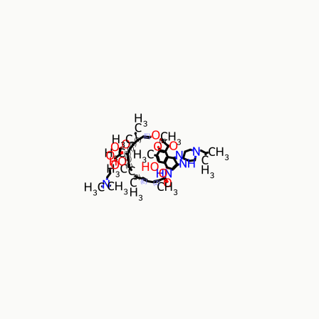 CC[C@H]1/C=C/O[C@@]2(C)Oc3c(C)c(O)c4c(c3C2=O)C2=NC3(CCN(CC(C)C)CC3)NC2=C(NC(=O)/C(C)=C\C=C\[C@H](C)C[C@@H](C)[C@@H](O)[C@@H](C)[C@H](OC(=O)CC(=O)OCCCN(C)C)[C@@H]1C)C4=O